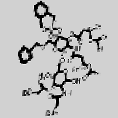 CCC(=O)O[C@H](CC)CC(=O)NC1[C@H](OCC2OC(O)C(NC(=O)C[C@H](C)CC)[C@@H](OC(=O)C[C@H](C)CC)[C@@H]2C)OC(COCc2ccccc2)[C@@H](OP2(=O)OCc3ccccc3CO2)[C@@H]1OC(=O)C[C@@H](CC)OC(=O)CC